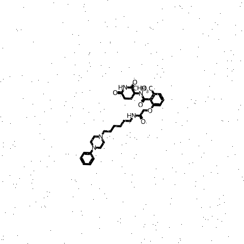 Cc1cccc(OCC(=O)NCCCCCCN2CCN(c3ccccc3)CC2)c1C(=O)N(C=O)C1CCC(=O)NC1=O